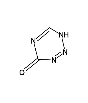 O=c1nc[nH]nn1